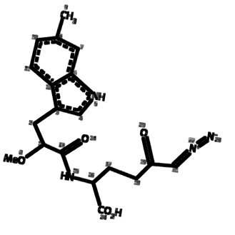 COC(Cc1c[nH]c2cc(C)ccc12)C(=O)NC(CCC(=O)C=[N+]=[N-])C(=O)O